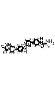 C[C@@H](N)C(=O)Nc1ccc(-c2ccnc(Nc3ccc(N4CCN(C(=O)[C@@H](C)N)CC4)cc3)n2)cc1